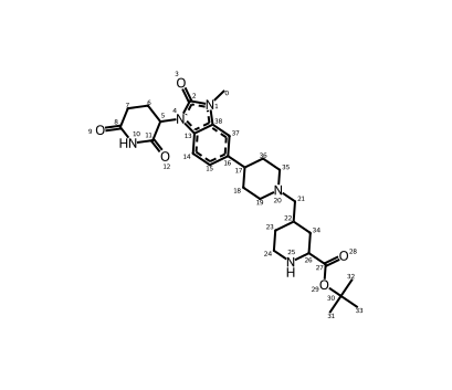 Cn1c(=O)n(C2CCC(=O)NC2=O)c2ccc(C3CCN(CC4CCNC(C(=O)OC(C)(C)C)C4)CC3)cc21